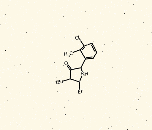 CCC1NC(c2cccc(Cl)c2C)C(=O)C1C(C)(C)C